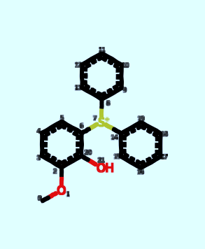 COc1cccc([S+](c2ccccc2)c2ccccc2)c1O